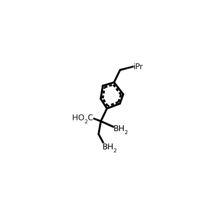 BCC(B)(C(=O)O)c1ccc(CC(C)C)cc1